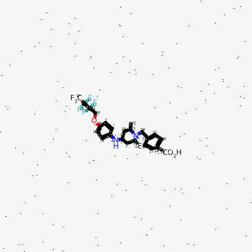 CCC1CC(Nc2ccc(OCC(F)(F)C(F)(F)C(F)(F)F)cc2)CC(C)N1Cc1ccc(C(=O)O)cc1